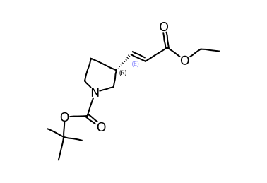 CCOC(=O)/C=C/[C@H]1CCN(C(=O)OC(C)(C)C)C1